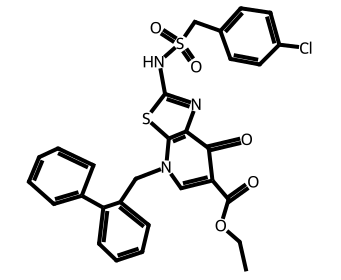 CCOC(=O)c1cn(Cc2ccccc2-c2ccccc2)c2sc(NS(=O)(=O)Cc3ccc(Cl)cc3)nc2c1=O